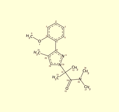 COc1ccccc1-c1nn(C(C)(C)C(=O)N(C)C)cc1C